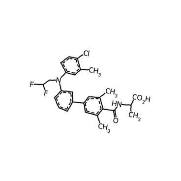 Cc1cc(N(CC(F)F)c2cccc(-c3cc(C)c(C(=O)NC(C)C(=O)O)c(C)c3)c2)ccc1Cl